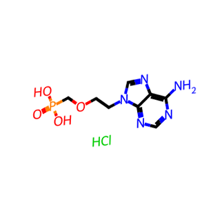 Cl.Nc1ncnc2c1ncn2CCOCP(=O)(O)O